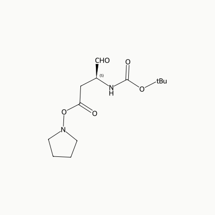 CC(C)(C)OC(=O)N[C@H](C=O)CC(=O)ON1CCCC1